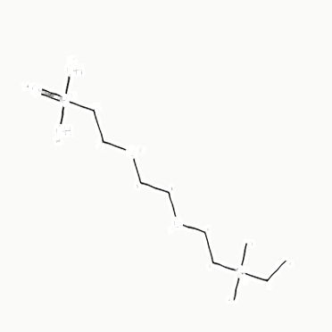 CC[N+](C)(C)CCOCCOCCP(=O)(O)O